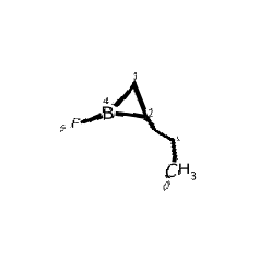 CCC1CB1F